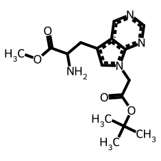 COC(=O)C(N)Cc1cn(CC(=O)OC(C)(C)C)c2ncncc12